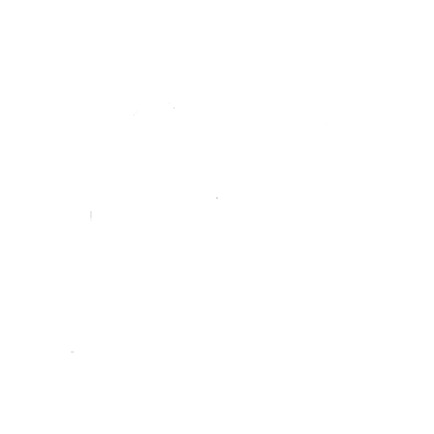 O=C1CN(c2c(OCc3ccccc3)cc3c(c2F)C2CC3CC2=O)S(=O)(=O)N1